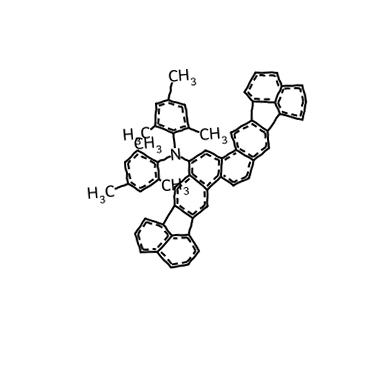 Cc1cc(C)c(N(c2c(C)cc(C)cc2C)c2cc3c4cc5c(cc4ccc3c3cc4c(cc23)-c2cccc3cccc-4c23)-c2cccc3cccc-5c23)c(C)c1